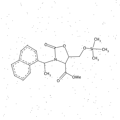 COC(=O)C1C(CO[Si](C)(C)C)OC(=O)N1C(C)c1cccc2ccccc12